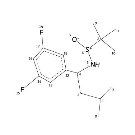 CC(C)CC(N[S+]([O-])C(C)(C)C)c1cc(F)cc(F)c1